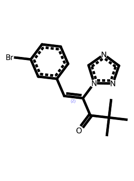 CC(C)(C)C(=O)/C(=C/c1cccc(Br)c1)n1cncn1